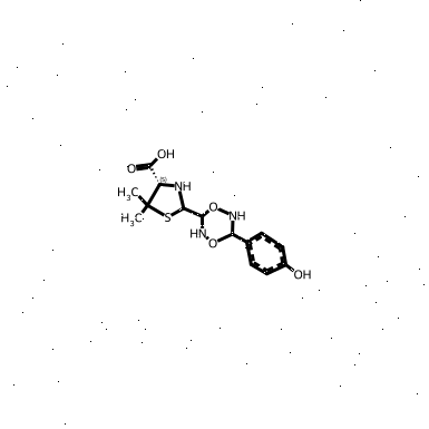 CC1(C)SC(C2NOC(c3ccc(O)cc3)NO2)N[C@H]1C(=O)O